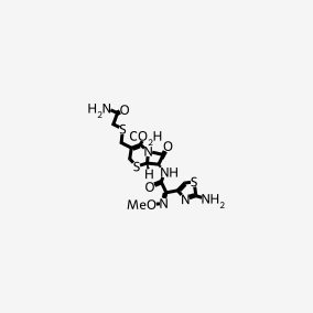 CO/N=C(\C(=O)N[C@@H]1C(=O)N2C(C(=O)O)=C(CSCC(N)=O)CS[C@@H]12)c1csc(N)n1